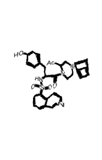 CC(=O)C1CNCCN1C(=O)C(Cc1ccc(O)cc1)NS(=O)(=O)c1cccc2cnccc12.c1cc2ccc1-2